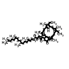 C=Cc1c(C)c2cc3nc(c4c5[nH]c(cc6nc(cc1[nH]2)C(C)=C6CC)c(C)c5C(=O)CC4CC(=O)OC)[C@@H](CCCC(=O)OC/C=C(\C)CCC[C@H](C)CCC[C@H](C)CCCC(C)C)C3C